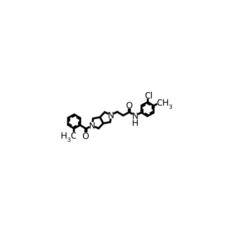 Cc1ccc(NC(=O)CCN2CC3CN(C(=O)c4ccccc4C)CC3C2)cc1Cl